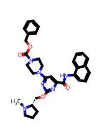 CN1CCC[C@H]1COc1nc(C(=O)Nc2cccc3ccccc23)cc(N2CCN(C(=O)OCc3ccccc3)CC2)n1